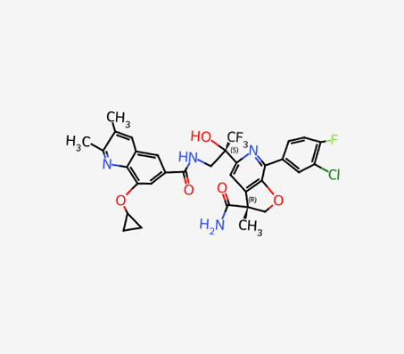 Cc1cc2cc(C(=O)NC[C@](O)(c3cc4c(c(-c5ccc(F)c(Cl)c5)n3)OC[C@]4(C)C(N)=O)C(F)(F)F)cc(OC3CC3)c2nc1C